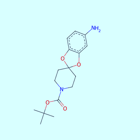 CC(C)(C)OC(=O)N1CCC2(CC1)Oc1ccc(N)cc1O2